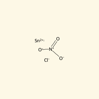 O=[N+]([O-])[O-].[Cl-].[Sn+2]